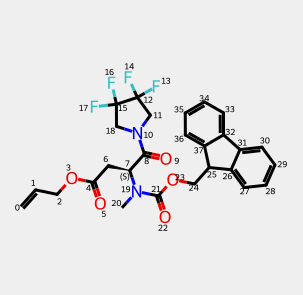 C=CCOC(=O)C[C@@H](C(=O)N1CC(F)(F)C(F)(F)C1)N(C)C(=O)OCC1c2ccccc2-c2ccccc21